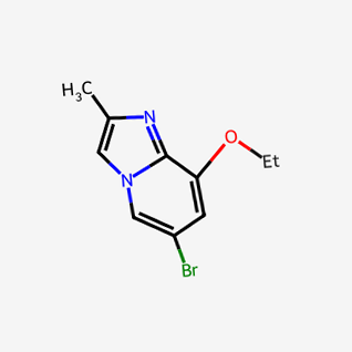 CCOc1cc(Br)cn2cc(C)nc12